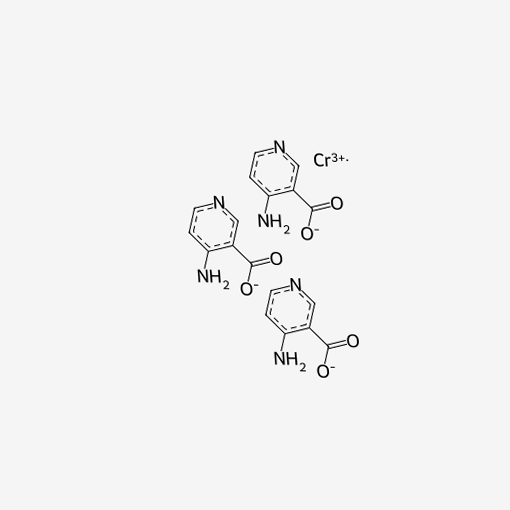 Nc1ccncc1C(=O)[O-].Nc1ccncc1C(=O)[O-].Nc1ccncc1C(=O)[O-].[Cr+3]